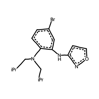 CC(C)CN(CC(C)C)c1ccc(Br)cc1Nc1ccon1